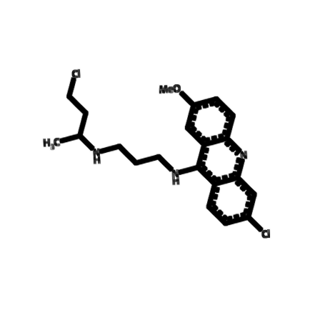 COc1ccc2nc3cc(Cl)ccc3c(NCCCNC(C)CCCl)c2c1